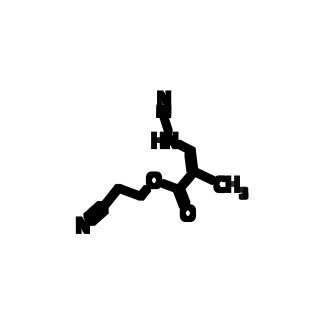 CC(=CNC#N)C(=O)OCCC#N